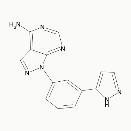 Nc1ncnc2c1cnn2-c1cccc(-c2ccn[nH]2)c1